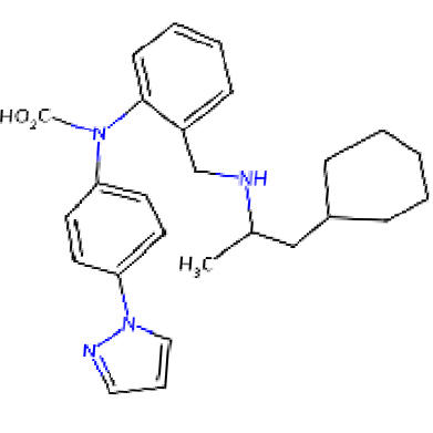 CC(CC1CCCCC1)NCc1ccccc1N(C(=O)O)c1ccc(-n2cccn2)cc1